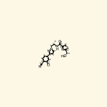 C[C@@H](Cn1ccc(-c2ccc(C#N)c(Cl)c2)n1)NC(=O)c1csc(CO)n1